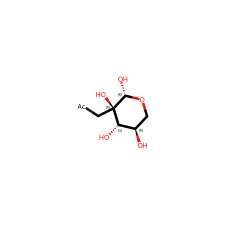 CC(=O)C[C@]1(O)[C@H](O)OC[C@@H](O)[C@@H]1O